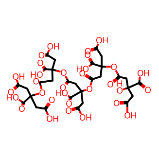 O=C(O)CC(O)(CC(=O)OC(CC(=O)O)(CC(=O)OC(CC(=O)O)(CC(=O)OC(CC(=O)O)(CC(=O)OC(CC(=O)O)(CC(=O)O)C(=O)O)C(=O)O)C(=O)O)C(=O)O)C(=O)O